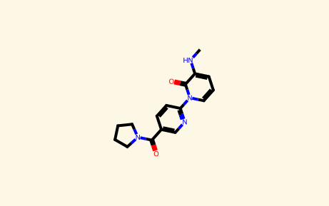 CNc1cccn(-c2ccc(C(=O)N3CCCC3)cn2)c1=O